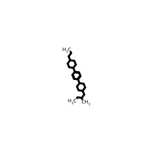 CCCC1CCC(c2ccc(C3CCC(CC(C)CC)CC3)cc2)CC1